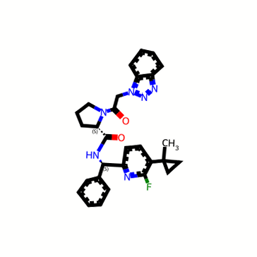 CC1(c2ccc([C@@H](NC(=O)[C@@H]3CCCN3C(=O)Cn3nnc4ccccc43)c3ccccc3)nc2F)CC1